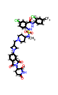 CN(C1CCN(CC2CN(c3ccc4c(c3)C(=O)N(C3CCC(=O)NC3=O)C4=O)C2)CC1)S(=O)(=O)Nc1ccc(Cl)cc1C(=O)Nc1ccc(C(F)(F)F)cc1Cl